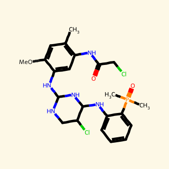 COc1cc(C)c(NC(=O)CCl)cc1NC1NCC(Cl)C(Nc2ccccc2P(C)(C)=O)N1